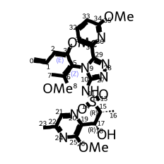 C=C/C=C(OC)\C(=C(/C)OC)n1c(NS(=O)(=O)[C@H](C)[C@H](O)c2ncc(C)nc2OC)nnc1-c1cccc(OC)n1